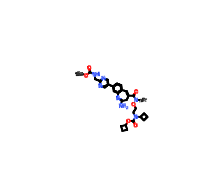 CCCN(OCCN(C(=O)OC1CCC1)C1CCC1)C(=O)C1=Cc2ccc(-c3cnc(CNC(=O)OC(C)(C)C)nc3)cc2N=C(N)C1